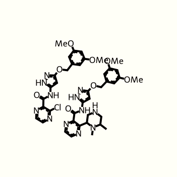 COc1cc(COc2cc(NC(=O)c3nccnc3C3CNCC(C)N3C)[nH]n2)cc(OC)c1.COc1cc(COc2cc(NC(=O)c3nccnc3Cl)[nH]n2)cc(OC)c1